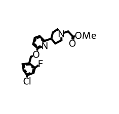 COC(=O)CN1CCC(c2cccc(OCc3ccc(Cl)cc3F)n2)CC1